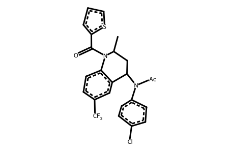 CC(=O)N(c1ccc(Cl)cc1)C1CC(C)N(C(=O)c2cccs2)c2ccc(C(F)(F)F)cc21